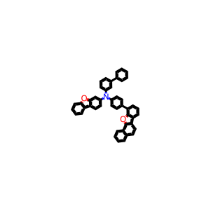 c1ccc(-c2cccc(N(c3ccc(-c4cccc5c4oc4c6ccccc6ccc54)cc3)c3ccc4c(c3)oc3ccccc34)c2)cc1